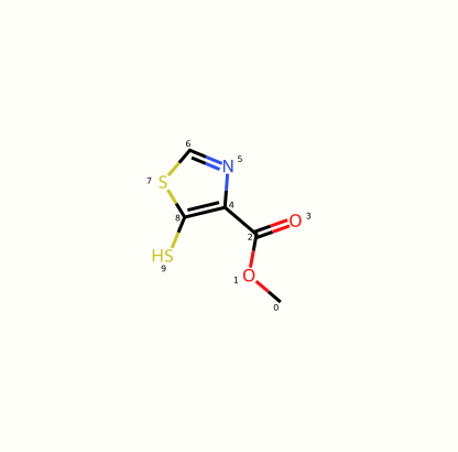 COC(=O)c1ncsc1S